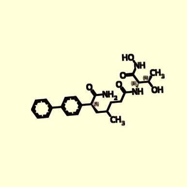 CC(CCC(=O)N[C@H](C(=O)NO)[C@@H](C)O)C[C@H](C(N)=O)c1ccc(-c2ccccc2)cc1